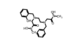 CN(O)C(=O)CN(CCN(CC(=O)N(C)O)Cc1ccccc1O)Cc1ccccc1